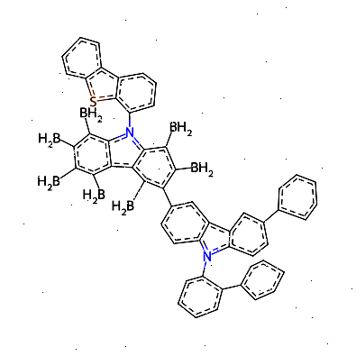 Bc1c(B)c(B)c2c(c1B)c1c(B)c(-c3ccc4c(c3)c3cc(-c5ccccc5)ccc3n4-c3ccccc3-c3ccccc3)c(B)c(B)c1n2-c1cccc2c1sc1ccccc12